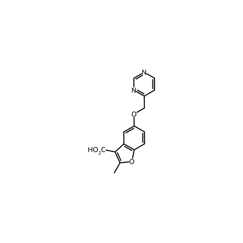 Cc1oc2ccc(OCc3ccncn3)cc2c1C(=O)O